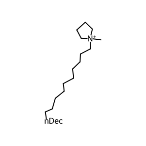 CCCCCCCCCCCCCCCCCCCC[N+]1(C)CCCC1